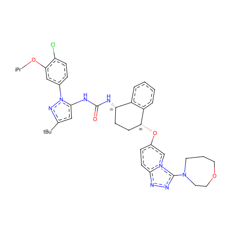 CC(C)Oc1cc(-n2nc(C(C)(C)C)cc2NC(=O)N[C@H]2CC[C@@H](Oc3ccc4nnc(N5CCCOCC5)n4c3)c3ccccc32)ccc1Cl